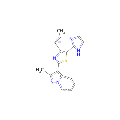 C/C=C/c1nc(-c2c(C)nn3ccccc23)sc1-c1ncc[nH]1